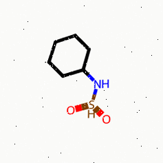 O=[SH](=O)NC1C[CH]CCC1